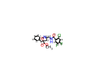 COC(=O)C1(Cc2ccccc2)CC(CNC(=O)c2cc(F)c(F)cc2Cl)=NO1